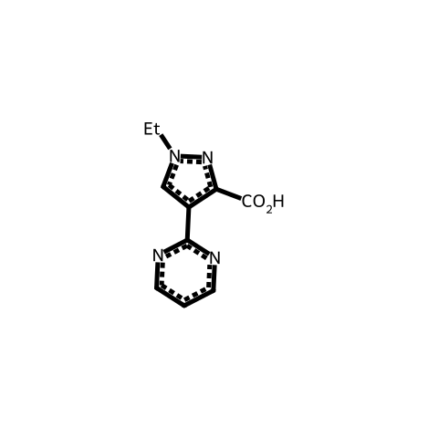 CCn1cc(-c2ncccn2)c(C(=O)O)n1